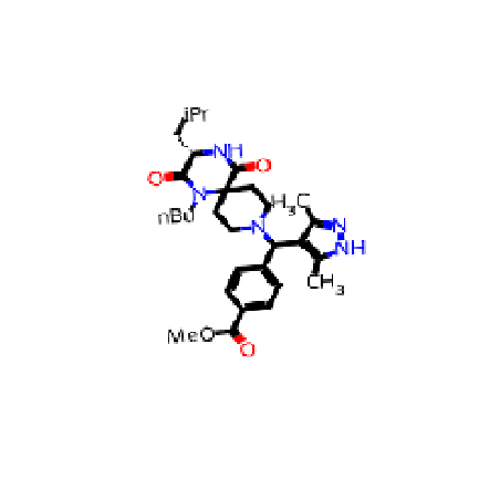 CCCCN1C(=O)[C@H](CC(C)C)NC(=O)C12CCN(C(c1ccc(C(=O)OC)cc1)c1c(C)n[nH]c1C)CC2